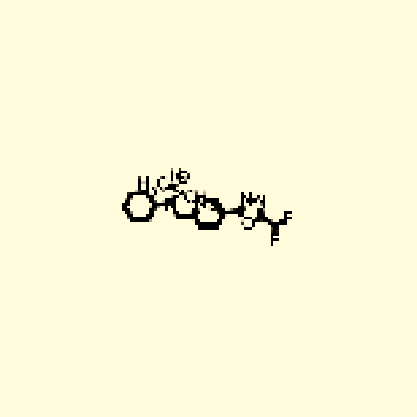 C[SH](C)(=O)N(Cc1ccc(-c2nnc(C(F)F)o2)cn1)C1CCCCC1